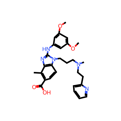 COc1cc(Nc2nc3c(C)c(C(=O)O)ccc3n2CCCN(C)CCc2ccccn2)cc(OC)c1